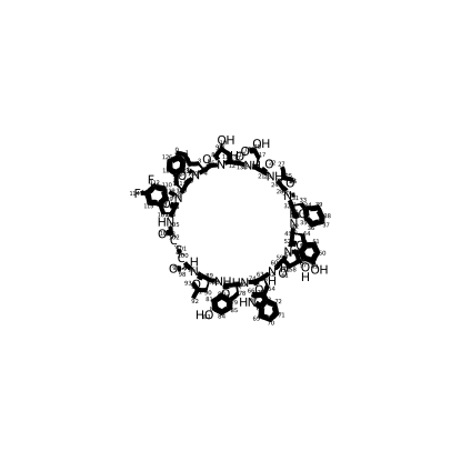 CCCC[C@H]1C(=O)N2C[C@@H](O)C[C@@H]2C(=O)N[C@@H](CC(=O)O)C(=O)N[C@@H](C(C)C)C(=O)N(C)[C@@H](Cc2ccccc2)C(=O)N[C@@H](Cc2ccc(O)cc2)C(=O)N2C[C@@H](O)C[C@@H]2C(=O)N[C@@H](Cc2c[nH]c3ccccc23)C(=O)N[C@@H](Cc2ccc(O)cc2)C(=O)N[C@@H](CC(C)C)C(=O)N[C@H](C=O)CSCC(=O)N[C@@H](Cc2ccc(F)c(F)c2)C(=O)N(C)[C@@H](Cc2ccccc2)C(=O)N1C